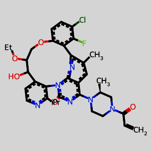 C=CC(=O)N1CCN(c2nc(=O)n3c4nc(c(C)cc24)-c2c(ccc(Cl)c2F)OCC(OCC)C(O)c2ccnc(C(C)C)c2-3)[C@@H](C)C1